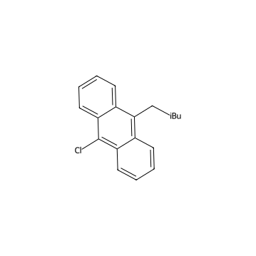 CCC(C)Cc1c2ccccc2c(Cl)c2ccccc12